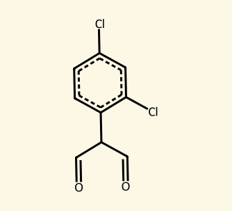 O=CC(C=O)c1ccc(Cl)cc1Cl